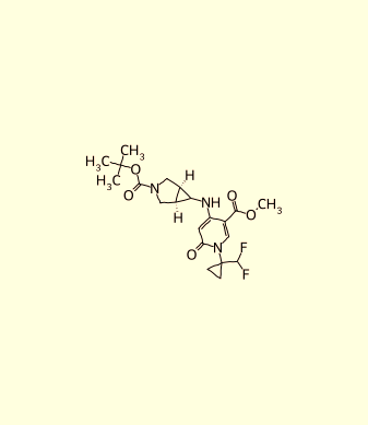 COC(=O)c1cn(C2(C(F)F)CC2)c(=O)cc1NC1[C@H]2CN(C(=O)OC(C)(C)C)C[C@@H]12